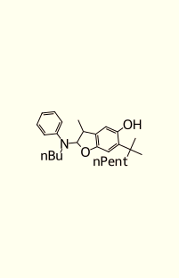 CCCCCC(C)(C)c1cc2c(cc1O)C(C)C(N(CCCC)c1ccccc1)O2